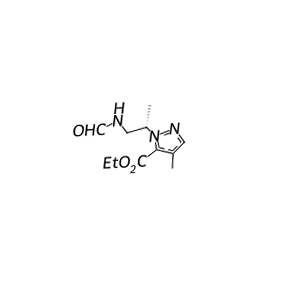 CCOC(=O)c1c(C)cnn1[C@@H](C)CNC=O